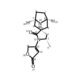 C[C@H]1C[C@@]2(C[C@H]3CC[C@@H](C2)N3)C(=O)N1C1=CC(=O)OC1